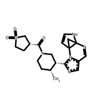 C[C@@H]1CCN(C(=O)[C@@H]2CCS(=O)(=O)C2)C[C@@H]1c1ncc2n1C13C=CNC1(C3)N=C2